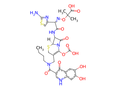 CCCCN(CC1=C(OC(=O)O)N2C(=O)C(NC(=O)/C(=N\OC(C)(C)C(=O)O)c3csc(N)n3)[C@@H]2SC1)C(=O)c1c[nH]c2cc(O)c(O)cc2c1=O